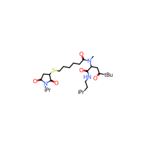 CC(C)CCNC(=O)C(CC(=O)C(C)(C)C)N(C)C(=O)CCCCCSC1CC(=O)N(C(C)C)C1=O